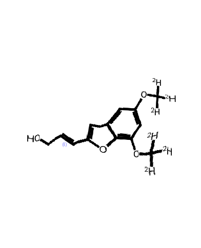 [2H]C([2H])([2H])Oc1cc(OC([2H])([2H])[2H])c2oc(/C=C/CO)cc2c1